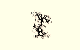 CCC(C)(C)CC[C@@](C)(CCC(C)(C)[C@]1(C)CC[C@H]2C(C)(C)C(=O)C(C#N)=C[C@]2(C)[C@H]1CC(C)=O)C(=O)N(C)C